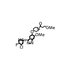 COCCC(=O)N1CCC(Oc2cc3c([AsH]c4ccc(F)c(Cl)c4)ncnc3cc2OC)CC1